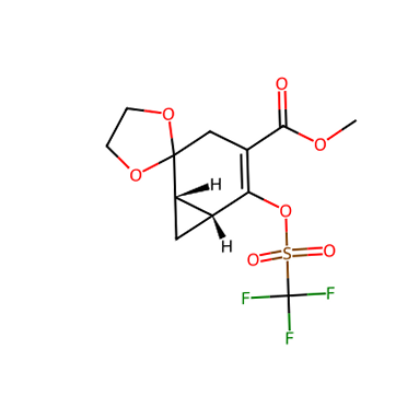 COC(=O)C1=C(OS(=O)(=O)C(F)(F)F)[C@@H]2C[C@@H]2C2(C1)OCCO2